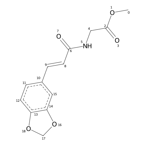 COC(=O)CNC(=O)C=Cc1ccc2c(c1)OCO2